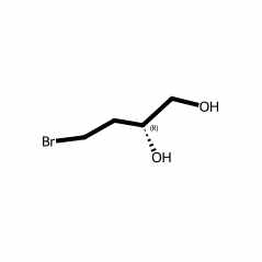 OC[C@H](O)CCBr